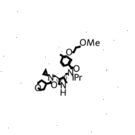 COCCCOc1cc(C(=O)N(C[C@@H]2CNC[C@H]2CN(C(=O)C2CCOCC2)C2CC2)C(C)C)ccc1C